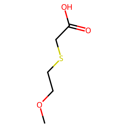 COCCSCC(=O)O